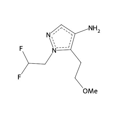 COCCc1c(N)cnn1CC(F)F